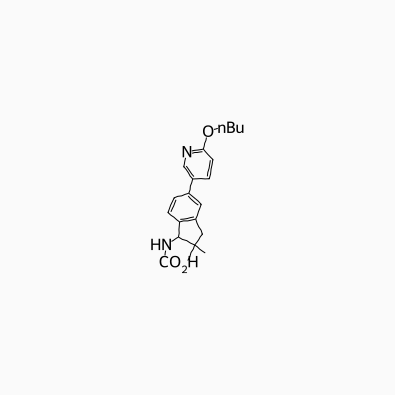 CCCCOc1ccc(-c2ccc3c(c2)CC(C)(C)C3NC(=O)O)cn1